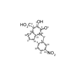 O=C(O)c1c(O)c(=O)n(Cc2cccc([N+](=O)[O-])c2)c2ccsc12